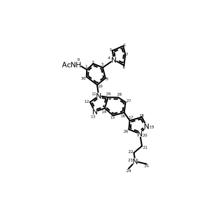 CC(=O)Nc1cc(-n2cccc2)cc(-n2cnc3cc(-c4cnn(CCN(C)C)c4)ccc32)c1